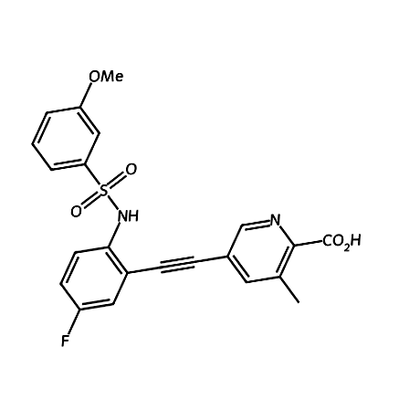 COc1cccc(S(=O)(=O)Nc2ccc(F)cc2C#Cc2cnc(C(=O)O)c(C)c2)c1